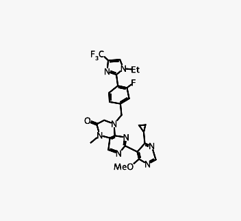 CCn1cc(C(F)(F)F)nc1-c1ccc(CN2CC(=O)N(C)c3cnc(-c4c(OC)ncnc4C4CC4)nc32)cc1F